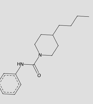 CCCCC1CCN(C(=O)Nc2ccccc2)CC1